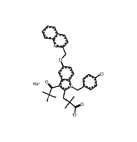 CC(C)(C)C(=O)c1c(CC(C)(C)C(=O)[O-])n(Cc2ccc(Cl)cc2)c2ccc(OCc3ccc4ccccc4n3)cc12.[Na+]